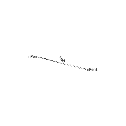 CCCCCC=CCC=CCCCCCCCCC(CCCCCCCCC=CCC=CCCCCC)N=C=S